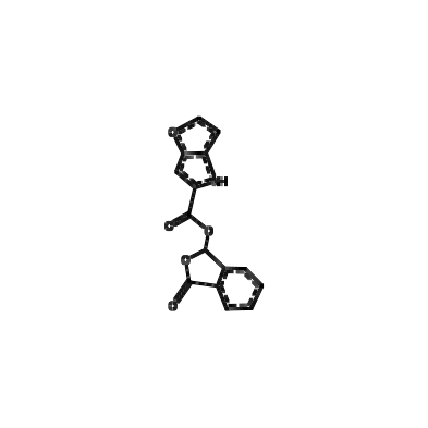 O=C(OC1OC(=O)c2ccccc21)c1cc2occc2[nH]1